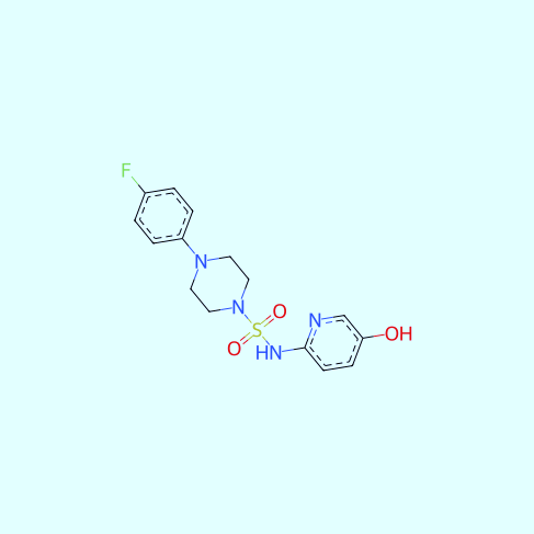 O=S(=O)(Nc1ccc(O)cn1)N1CCN(c2ccc(F)cc2)CC1